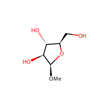 CO[C@@H]1O[C@H](CO)[C@@H](O)[C@@H]1O